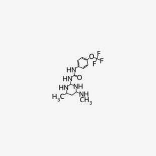 CNC1CC(C)NC(NC(=O)Nc2ccc(OC(F)(F)F)cc2)N1